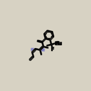 C=C/C=C\C(C)=C(\C)C(=C)c1ccccc1C(C)(F)C(C)(C)C